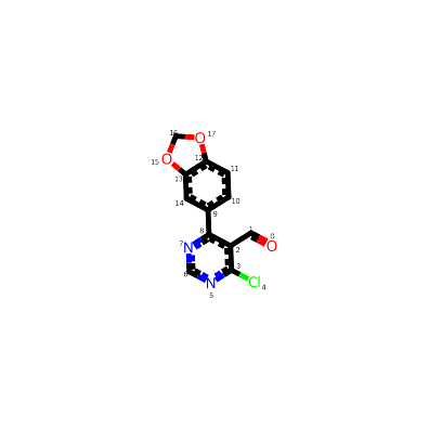 O=Cc1c(Cl)ncnc1-c1ccc2c(c1)OCO2